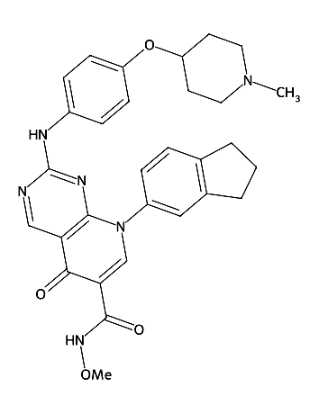 CONC(=O)c1cn(-c2ccc3c(c2)CCC3)c2nc(Nc3ccc(OC4CCN(C)CC4)cc3)ncc2c1=O